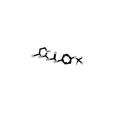 O=C(Nc1ccc(OC(F)(F)F)cc1)NC1NCCC(Cl)N1